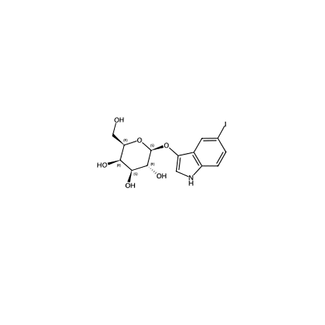 OC[C@H]1O[C@@H](Oc2c[nH]c3ccc(I)cc23)[C@H](O)[C@@H](O)[C@H]1O